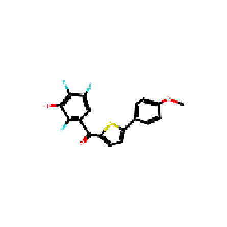 COc1ccc(-c2ccc(C(=O)c3cc(F)c(F)c(O)c3F)s2)cc1